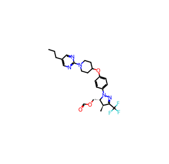 CCCc1cnc(N2CCC(Oc3ccc(N4N=C(C(F)(F)F)[C@@H](C)[C@@H]4COC=O)cc3)CC2)nc1